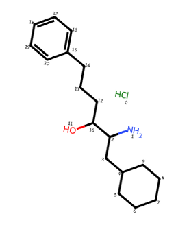 Cl.NC(CC1CCCCC1)C(O)CCCc1ccccc1